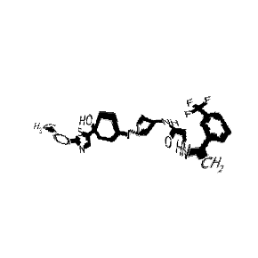 C=C(NCC(=O)NC1CN(C2CCC(O)(c3cnc(OC)s3)CC2)C1)c1cccc(C(F)(F)F)c1